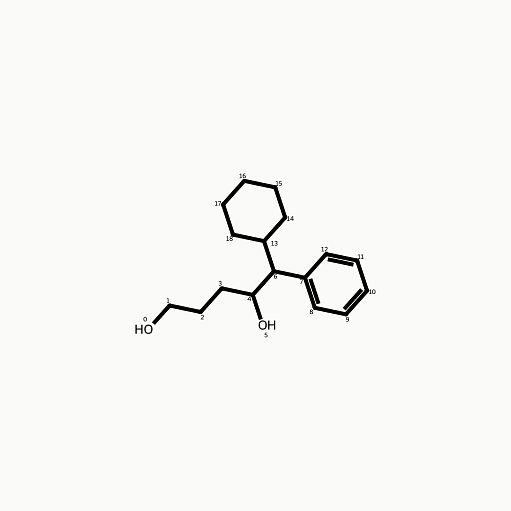 OCCCC(O)C(c1ccccc1)C1CCCCC1